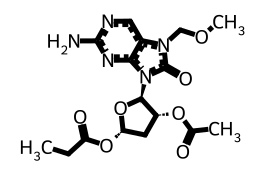 CCC(=O)O[C@H]1C[C@@H](OC(C)=O)[C@H](n2c(=O)n(COC)c3cnc(N)nc32)O1